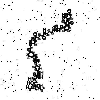 CC(C)(C)/C(O)=C/C(=N)NC(=O)Nc1ccc(-c2cn3c(n2)sc2cc(OCCN4CCN(C(=O)CCC(=O)NCCCCNC(=O)COc5cccc6c5C(=O)N(C5CCC(=O)NC5=O)C6=O)CC4)ccc23)cc1